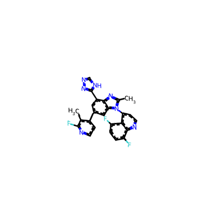 Cc1c(-c2cc(-c3nnc[nH]3)c3nc(C)n(-c4ccnc5c(F)ccc(F)c45)c3c2)ccnc1F